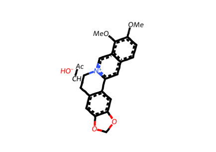 CC(C)=O.COc1ccc2cc3[n+](cc2c1OC)CCc1cc2c(cc1-3)OCO2.[OH-]